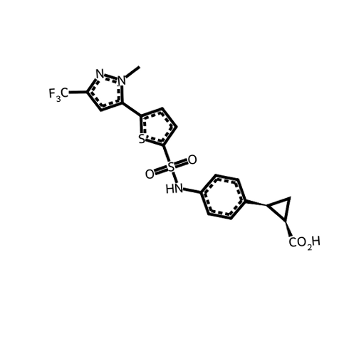 Cn1nc(C(F)(F)F)cc1-c1ccc(S(=O)(=O)Nc2ccc([C@H]3C[C@H]3C(=O)O)cc2)s1